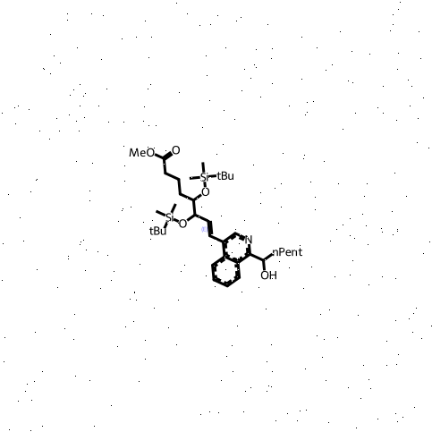 CCCCCC(O)c1ncc(/C=C/C(O[Si](C)(C)C(C)(C)C)C(CCCC(=O)OC)O[Si](C)(C)C(C)(C)C)c2ccccc12